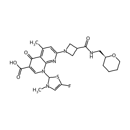 Cc1cc(N2CC(C(=O)NC[C@@H]3CCCCO3)C2)nc2c1c(=O)c(C(=O)O)cn2C1SC(F)=CN1C